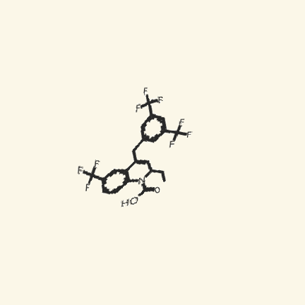 CCC1C=C(Cc2cc(C(F)(F)F)cc(C(F)(F)F)c2)c2cc(C(F)(F)F)ccc2N1C(=O)O